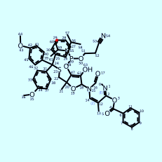 C/N=C(OC(=O)c1ccccc1)\C(C)=C/N(C=O)C1OC(C)(CSC(c2ccccc2)(c2ccc(OC)cc2)c2ccc(OC)cc2)C(OP(OCCC#N)N(C(C)C)C(C)C)=C1O